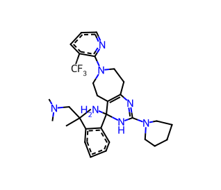 CN(C)CC(C)(C)c1ccccc1C1(N)NC(N2CCCCC2)=NC2=C1CCN(c1ncccc1C(F)(F)F)CC2